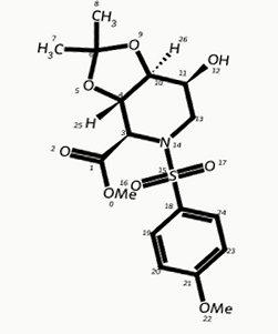 COC(=O)[C@H]1[C@@H]2OC(C)(C)O[C@H]2[C@@H](O)CN1S(=O)(=O)c1ccc(OC)cc1